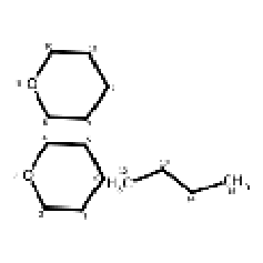 C1CCOCC1.C1CCOCC1.CCCC